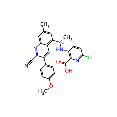 COc1ccc(-c2cc3c([C@H](C)Nc4ccc(Cl)nc4C(=O)O)cc(C)cc3nc2C#N)cc1